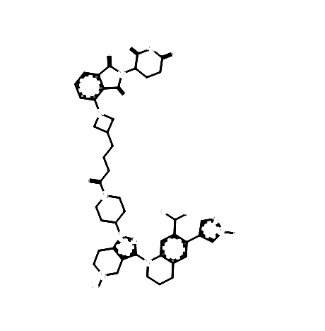 CC(=O)N1CCc2c(c(N3CCCc4cc(-c5cnn(C)c5)c(C(F)F)cc43)nn2C2CCN(C(=O)CCCC3CN(c4cccc5c4C(=O)N(C4CCC(=O)NC4=O)C5=O)C3)CC2)C1